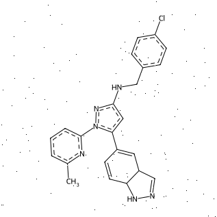 Cc1cccc(-n2nc(NCc3ccc(Cl)cc3)cc2C2=CC3C=NNC3C=C2)n1